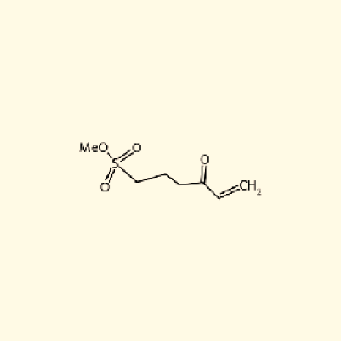 C=CC(=O)CCCS(=O)(=O)OC